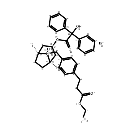 CCOC(=O)CCc1ccc(C[N@+]2(C)[C@@H]3CC[C@H]2C[C@@H](OC(=O)C(O)(c2ccccc2)c2ccccc2)C3)cc1.[Br-]